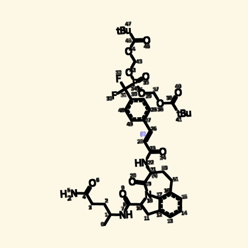 CC(CCC(N)=O)NC(=O)C1Cc2cccc3c2N1C(=O)[C@@H](NC(=O)/C=C/c1ccc(C(F)(F)P(=O)(OCOC(=O)C(C)(C)C)OCOC(=O)C(C)(C)C)cc1)CC3